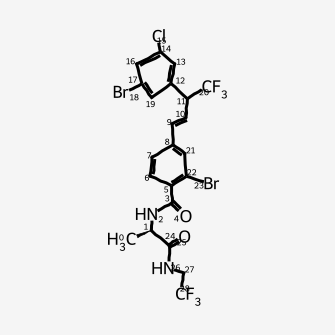 C[C@@H](NC(=O)c1ccc(/C=C/C(c2cc(Cl)cc(Br)c2)C(F)(F)F)cc1Br)C(=O)NCC(F)(F)F